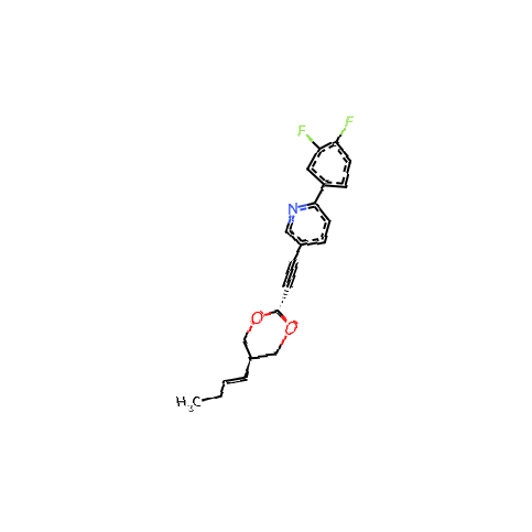 CCC=C[C@H]1CO[C@H](C#Cc2ccc(-c3ccc(F)c(F)c3)nc2)OC1